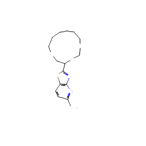 CCCCCCCCCCc1ccc2sc(C3CCCCCCCCCCC3)nc2n1